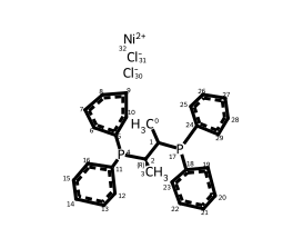 CC([C@@H](C)P(c1ccccc1)c1ccccc1)P(c1ccccc1)c1ccccc1.[Cl-].[Cl-].[Ni+2]